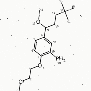 COCCOc1ccc(C(CCC(C)(C)C)OI)cc1P